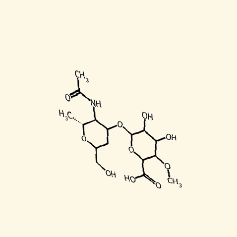 COC1C(C(=O)O)OC(OC2CC(CO)O[C@H](C)C2NC(C)=O)C(O)C1O